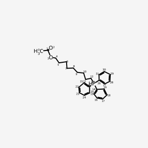 CC(=O)OCCCCCCCCC[PH](c1ccccc1)(c1ccccc1)c1ccccc1